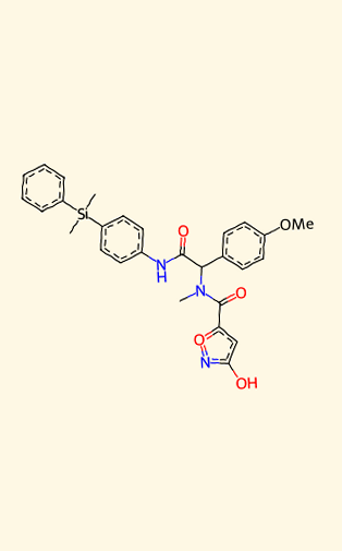 COc1ccc(C(C(=O)Nc2ccc([Si](C)(C)c3ccccc3)cc2)N(C)C(=O)c2cc(O)no2)cc1